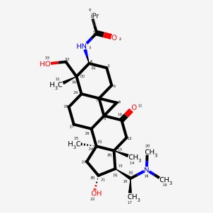 CC(C)C(=O)N[C@H]1CCC23CC24C(=O)C[C@]2(C)[C@@H]([C@H](C)N(C)C)[C@H](O)C[C@@]2(C)C4CCC3[C@]1(C)CO